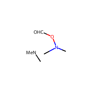 CN(C)OC=O.CNC